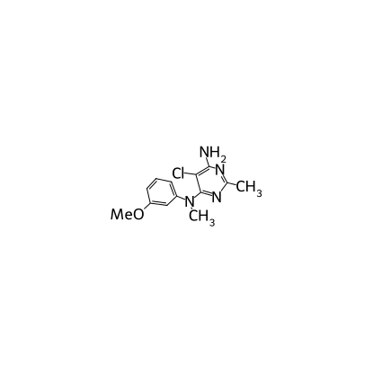 COc1cccc(N(C)c2nc(C)nc(N)c2Cl)c1